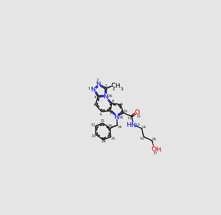 Cc1nnc2ccc3c(cc(C(=O)NCCCO)n3Cc3ccccc3)n12